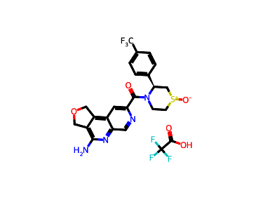 Nc1nc2cnc(C(=O)N3CC[S+]([O-])C[C@@H]3c3ccc(C(F)(F)F)cc3)cc2c2c1COC2.O=C(O)C(F)(F)F